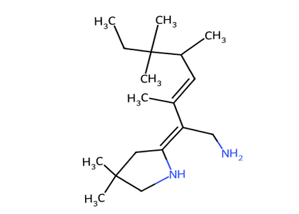 CCC(C)(C)C(C)/C=C(C)/C(CN)=C1\CC(C)(C)CN1